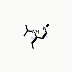 C=N/C=C\C(=C/C)NC(C)C